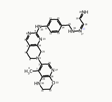 Cc1c(N2CCc3cnc(Nc4ccc(CN/N=C\C=N)cc4)nc3C2)cnc2c1NCCO2